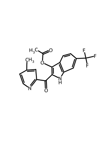 CC(=O)Oc1c(C(=O)c2cc(C)ccn2)[nH]c2cc(C(F)(F)F)ccc12